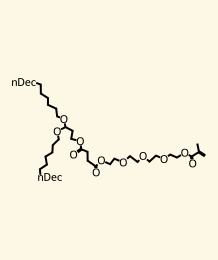 C=C(C)C(=O)OCCOCCOCCOCCOC(=O)CCC(=O)OCCC(OCCCCCCCCCCCCCCCC)OCCCCCCCCCCCCCCCC